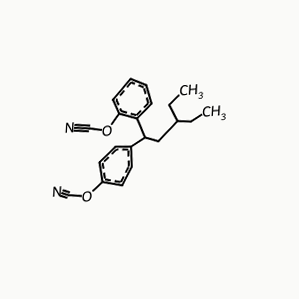 CCC(CC)CC(c1ccc(OC#N)cc1)c1ccccc1OC#N